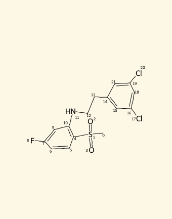 CS(=O)(=O)c1ccc(F)cc1NCCc1cc(Cl)cc(Cl)c1